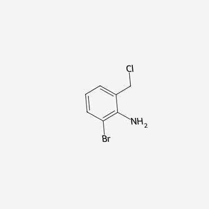 Nc1c(Br)cccc1CCl